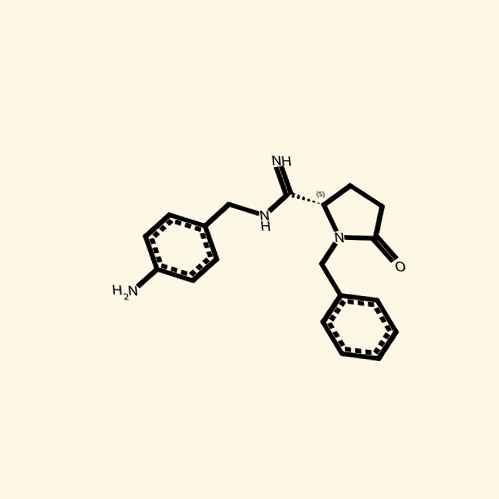 N=C(NCc1ccc(N)cc1)[C@@H]1CCC(=O)N1Cc1ccccc1